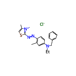 CCN(Cc1ccccc1)c1ccc(/N=N/c2scc(C)[n+]2C)c(C)c1.[Cl-]